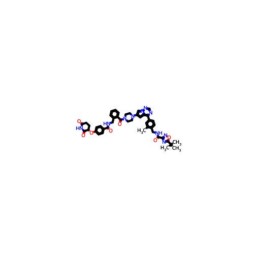 Cc1cc(-c2ncnn3cc(N4CCN(C(=O)c5ccccc5CNC(=O)c5ccc(OC6CCC(=O)NC6=O)cc5)CC4)cc23)ccc1CNC(=O)c1noc(C(C)(C)C)n1